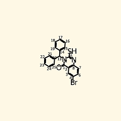 O=c1c2cc(Br)ccc2nc(S)n1C(c1ccccc1)c1ccccc1